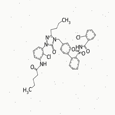 CCCCC(=O)Nc1cccc(-n2nc(CCCC)n(Cc3ccc(-c4ccccc4S(=O)(=O)NC(=O)c4ccccc4Cl)cc3)c2=O)c1Cl